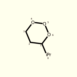 CC(C)C1CCOOO1